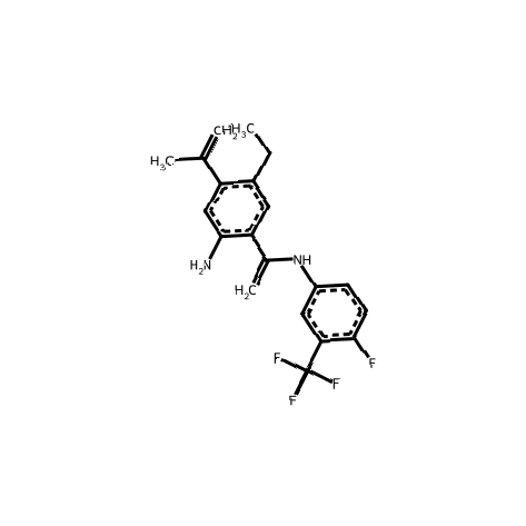 C=C(Nc1ccc(F)c(C(F)(F)F)c1)c1cc(CC)c(C(=C)C)cc1N